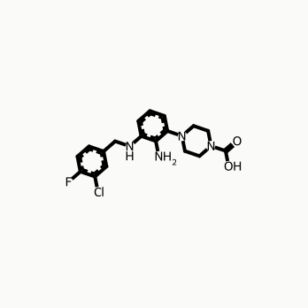 Nc1c(NCc2ccc(F)c(Cl)c2)cccc1N1CCN(C(=O)O)CC1